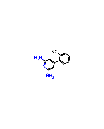 N#Cc1ccccc1-c1cc(N)nc(N)c1